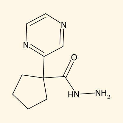 NNC(=O)C1(c2cnccn2)CCCC1